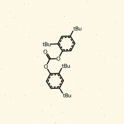 CC(C)(C)c1ccc(OC(=O)Oc2ccc(C(C)(C)C)cc2C(C)(C)C)c(C(C)(C)C)c1